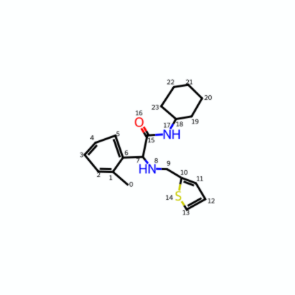 Cc1ccccc1C(NCc1cccs1)C(=O)NC1CCCCC1